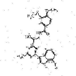 COc1ccc(C(=O)NCC(O)c2cc(C)cc(-c3csc4c(F)cccc34)n2)cc1OC